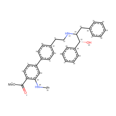 COC(=O)c1ccc(-c2ccc(CCNC(Cc3ccccc3)[C@H](O)c3ccccc3)cc2)cc1NC(C)C